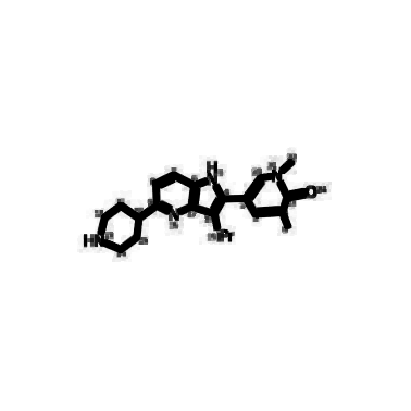 Cc1cc(-c2[nH]c3ccc(C4CCNCC4)nc3c2C(C)C)cn(C)c1=O